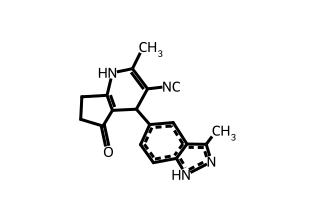 [C-]#[N+]C1=C(C)NC2=C(C(=O)CC2)C1c1ccc2[nH]nc(C)c2c1